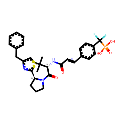 CC(C)(C)[C@H](NC(=O)/C=C/c1ccc(C(F)(F)P(=O)(O)O)cc1)C(=O)N1CCC[C@H]1c1nc(Cc2ccccc2)cs1